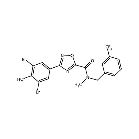 CN(Cc1cccc(C(F)(F)F)c1)C(=O)c1nc(-c2cc(Br)c(O)c(Br)c2)no1